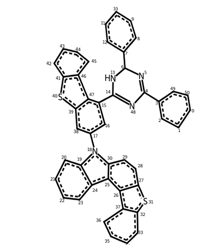 c1ccc(C2=NC(c3ccccc3)NC(c3cc(-n4c5ccccc5c5c6c(ccc54)sc4ccccc46)cc4sc5ccccc5c34)=N2)cc1